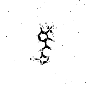 CCc1c(C(=O)Nc2nnnn2C)ccc(C(F)(F)F)c1S(C)(=O)=O